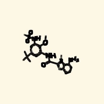 COc1c(NC(=O)c2cc3cccc(N)c3n2C)cc(C(C)(C)C)cc1NS(C)(=O)=O